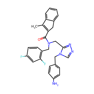 CC1=C(C(=O)N(Cc2ccc(F)cc2F)Cc2nncn2Cc2ccc(N)cc2)Cc2ccccc21